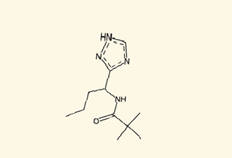 CCCC(NC(=O)C(C)(C)C)c1nc[nH]n1